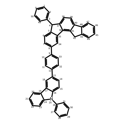 c1ccc(C2c3ccc(-c4ccc(-c5ccc6c(c5)c5ccccc5n6-c5ccccc5)cc4)cc3-c3c2ccc2c3Cc3ccccc3-2)cc1